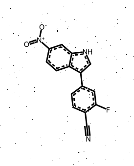 N#Cc1ccc(-c2c[nH]c3cc([N+](=O)[O-])ccc23)cc1F